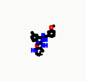 COc1cccc(-c2nc3c4cc(C)ccc4nc(N[C@@H]4CCCCNC4=O)n3n2)c1